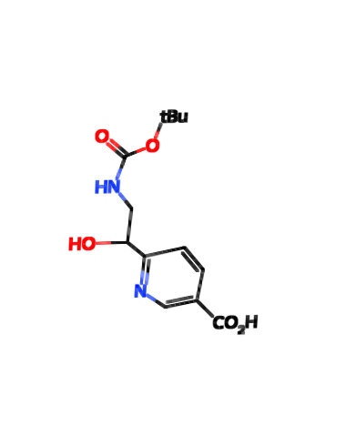 CC(C)(C)OC(=O)NCC(O)c1ccc(C(=O)O)cn1